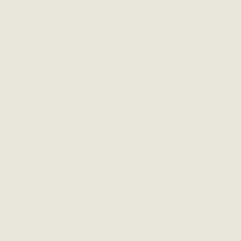 CCCCc1cccc(N2CC[N]CC2)c1